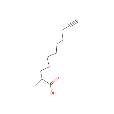 C#CCCCCCCCC(C)C(=O)O